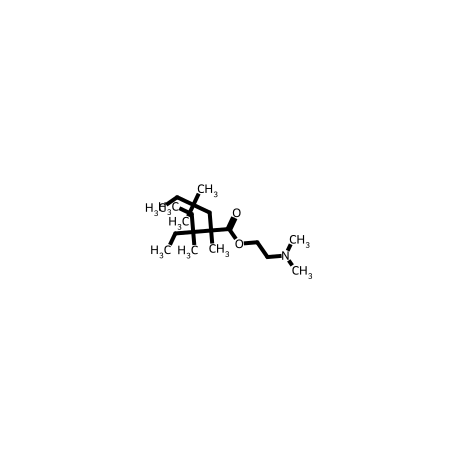 CCC(C)(C)CC(C)(C(=O)OCCN(C)C)C(C)(CC)CC